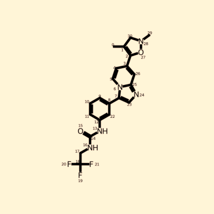 CC1=C(c2ccn3c(-c4cccc(NC(=O)NCC(F)(F)F)c4)cnc3c2)ON(C)C1